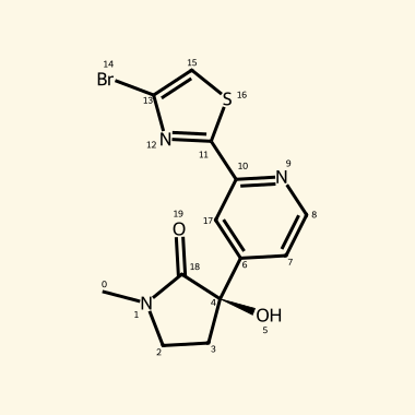 CN1CC[C@@](O)(c2ccnc(-c3nc(Br)cs3)c2)C1=O